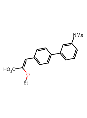 CCO/C(=C\c1ccc(-c2cccc(NC)c2)cc1)C(=O)O